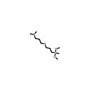 CO[Si](C)(CCCOCCCN(C)C)OC